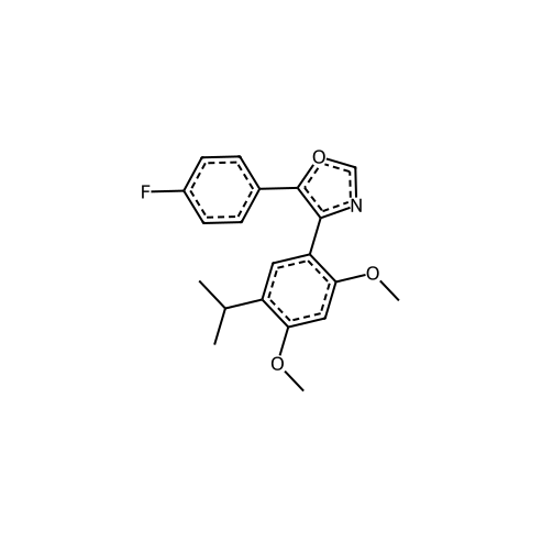 COc1cc(OC)c(C(C)C)cc1-c1ncoc1-c1ccc(F)cc1